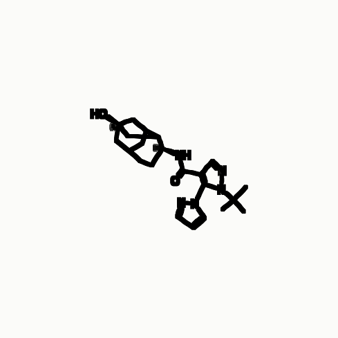 CC(C)(C)n1ncc(C(=O)N[C@H]2CCC3CC4C[C@@](O)(C3)CC42)c1-n1cccn1